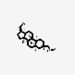 CC/C=C1/CC[C@H]2[C@@H]3CC[C@@H]4C[C@@](O)(COCC)CC[C@]4(C)[C@H]3CC[C@]12C